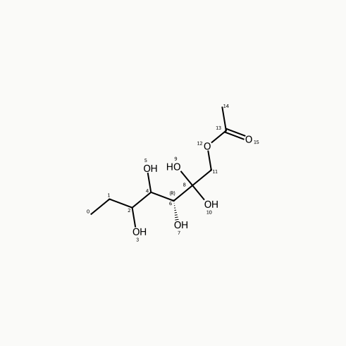 CCC(O)C(O)[C@@H](O)C(O)(O)COC(C)=O